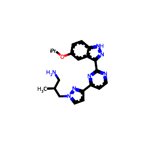 CC(CN)Cn1ccc(-c2ccnc(-c3n[nH]c4ccc(OC(C)C)cc34)n2)n1